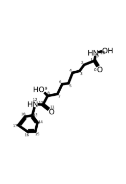 O=C(CCCCCCC(O)C(=O)Nc1ccccc1)NO